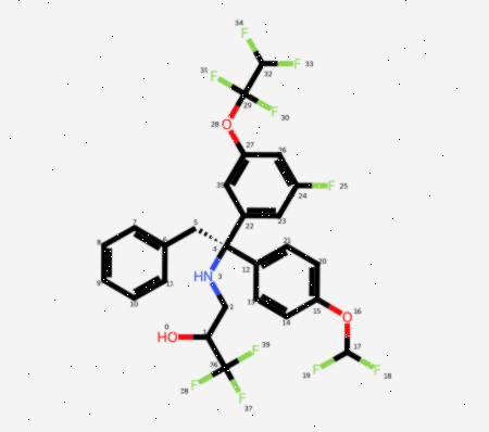 OC(CN[C@](Cc1ccccc1)(c1ccc(OC(F)F)cc1)c1cc(F)cc(OC(F)(F)C(F)F)c1)C(F)(F)F